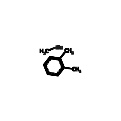 CCC(C)C.Cc1ccccc1C